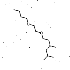 CCCCOCCOCCN(C)CC(C)C